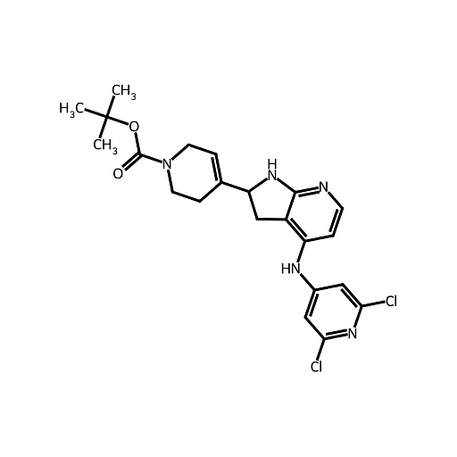 CC(C)(C)OC(=O)N1CC=C(C2Cc3c(Nc4cc(Cl)nc(Cl)c4)ccnc3N2)CC1